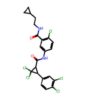 O=C(NCCC1CC1)c1cc(NC(=O)C2C(c3ccc(Cl)c(Cl)c3)C2(Cl)Cl)ccc1Cl